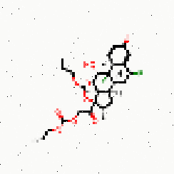 CCCOC(=O)OCC(=O)[C@@]1(OC(=O)OCCC)[C@H](C)C[C@H]2[C@@H]3C[C@H](F)C4=CC(=O)C=C[C@]4(C)[C@@]3(F)[C@@H](O)C[C@@]21C